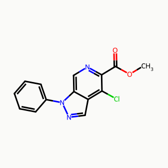 COC(=O)c1ncc2c(cnn2-c2ccccc2)c1Cl